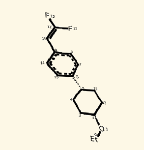 CCO[C@H]1CC[C@H](c2ccc(C=C(F)F)cc2)CC1